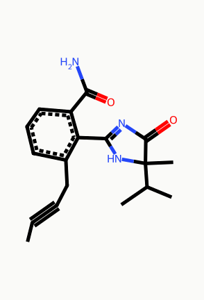 CC#CCc1cccc(C(N)=O)c1C1=NC(=O)C(C)(C(C)C)N1